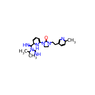 Cc1ccc(CCN2CCN(C3=CC=CC(C(=N)N(C=N)C(C)C)N3)C2=O)cn1